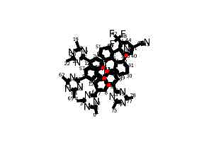 Cc1nc(C)nc(-c2ccc3c(c2)c2cc(-c4nc(C)nc(C)n4)ccc2n3-c2cccc(C#N)c2-c2c(-c3ccc(C#N)cc3C(F)(F)F)cccc2-n2c3ccc(-c4nc(C)nc(C)n4)cc3c3cc(-c4nc(C)nc(C)n4)ccc32)n1